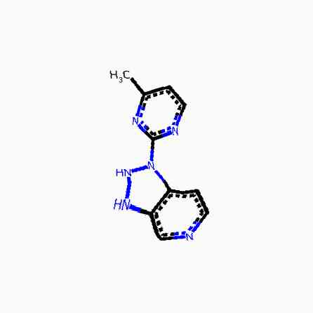 Cc1ccnc(N2NNc3cnccc32)n1